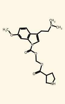 COc1ccc2c(CCN(C)C)cn(C(=O)OCOC(=O)C3CCNC3)c2c1